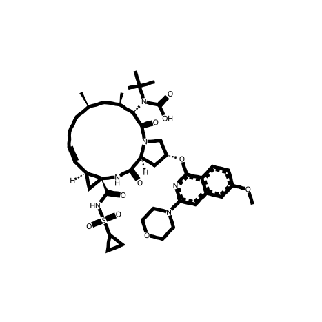 COc1ccc2c(O[C@@H]3C[C@H]4C(=O)N[C@]5(C(=O)NS(=O)(=O)C6CC6)C[C@H]5/C=C\CC[C@@H](C)C[C@@H](C)[C@H](N(C(=O)O)C(C)(C)C)C(=O)N4C3)nc(N3CCOCC3)cc2c1